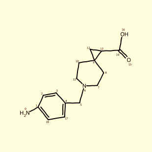 Nc1ccc(CN2CCC3(CC2)CC3C(=O)O)cc1